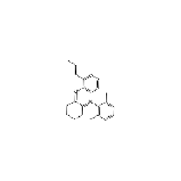 CCCc1ccccc1N=C1CCCCC1=Nc1c(C)cccc1C